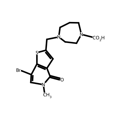 Cn1cc(Br)c2sc(CN3CCCN(C(=O)O)CC3)cc2c1=O